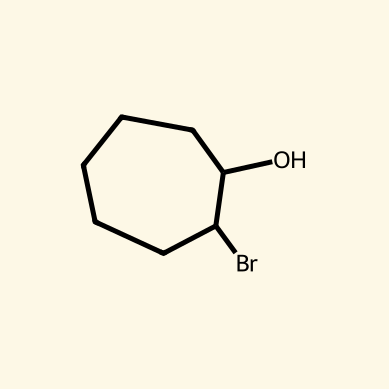 OC1CCCCCC1Br